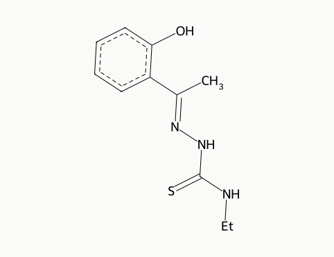 CCNC(=S)N/N=C(\C)c1ccccc1O